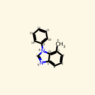 Cc1cccc2ncn(-c3ccccc3)c12